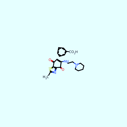 Cc1nc2c(s1)C(=O)C=C(NCCN1CCCCC1)C2=O.O=C(O)c1ccccc1